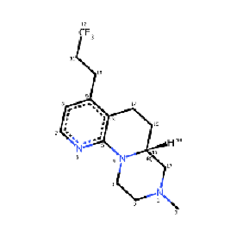 CN1CCN2c3nccc(CCC(F)(F)F)c3CC[C@@H]2C1